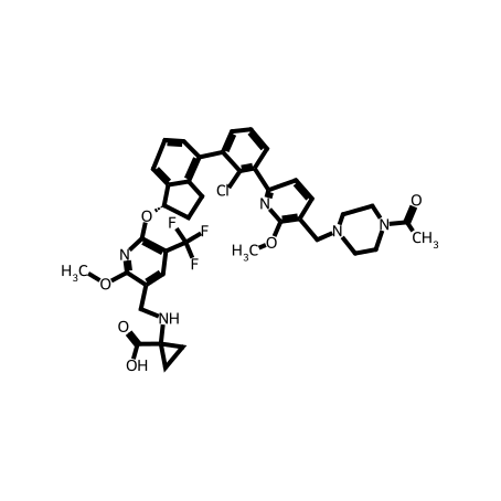 COc1nc(-c2cccc(-c3cccc4c3CC[C@@H]4Oc3nc(OC)c(CNC4(C(=O)O)CC4)cc3C(F)(F)F)c2Cl)ccc1CN1CCN(C(C)=O)CC1